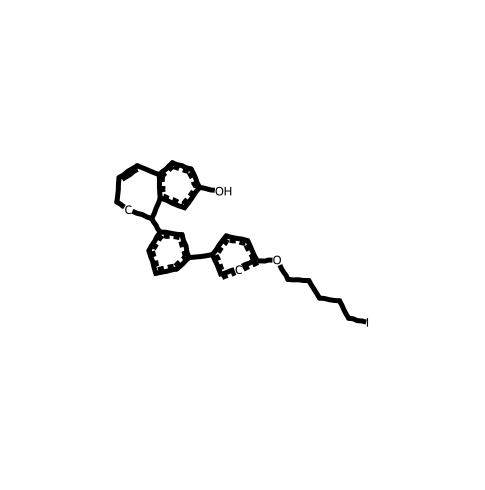 Oc1ccc2c(c1)C(c1cccc(-c3ccc(OCCCCCI)cc3)c1)CCC=C2